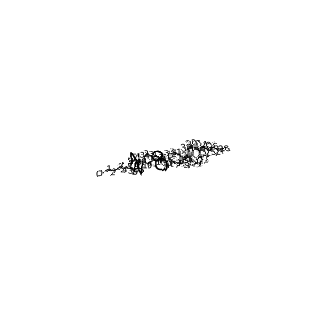 CCCCCc1cnc(-c2ccc(OC(=O)[C@H]3CC[C@H]([C@H]4CC[C@H](CCCCC)CC4)CC3)cc2)nc1